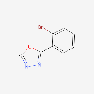 Brc1ccccc1-c1nn[c]o1